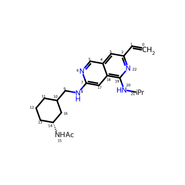 C=Cc1cc2cnc(NCC3CCC[C@@H](NC(C)=O)C3)cc2c(NC(C)C)n1